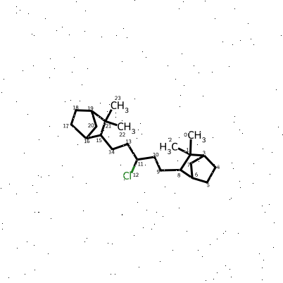 CC1(C)C2CCC(C2)C1CCC(Cl)CCC1C2CCC(C2)C1(C)C